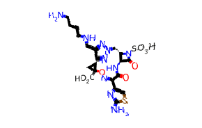 NCCCCNCc1cnn(C[C@H]2[C@H](NC(=O)C(=NOC3(C(=O)O)CC3)c3csc(N)n3)C(=O)N2S(=O)(=O)O)n1